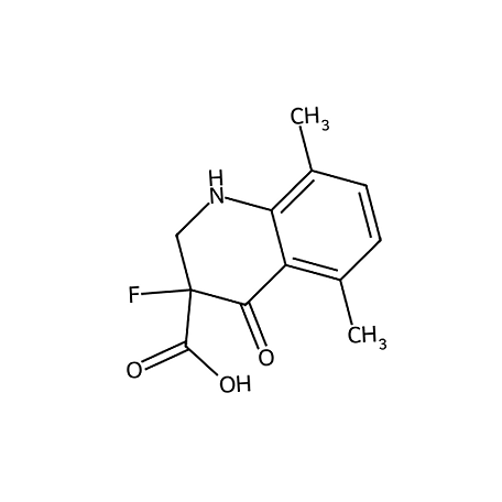 Cc1ccc(C)c2c1NCC(F)(C(=O)O)C2=O